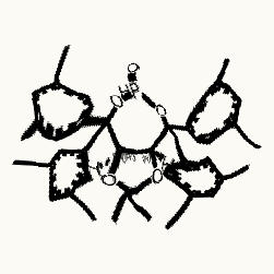 Cc1cc(C)cc(C2(c3cc(C)cc(C)c3)O[PH](=O)OC(c3cc(C)cc(C)c3)(c3cc(C)cc(C)c3)[C@@H]3OC(C)(C)O[C@H]32)c1